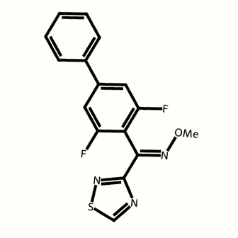 CO/N=C(/c1ncsn1)c1c(F)cc(-c2ccccc2)cc1F